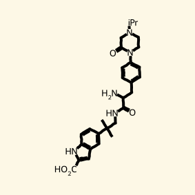 CC(C)N1CCN(c2ccc(CC(N)C(=O)NCC(C)(C)c3ccc4[nH]c(C(=O)O)cc4c3)cc2)C(=O)C1